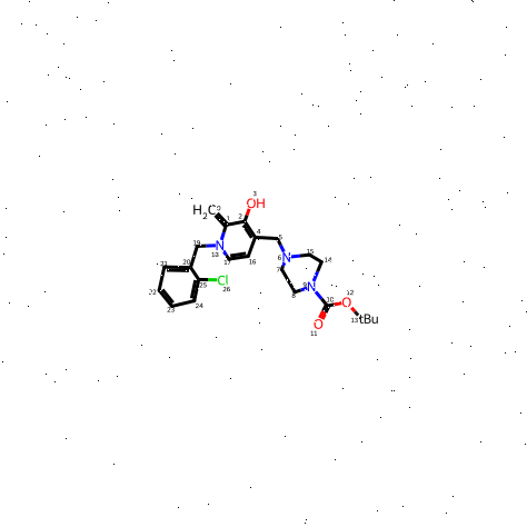 C=C1C(O)=C(CN2CCN(C(=O)OC(C)(C)C)CC2)C=CN1Cc1ccccc1Cl